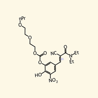 CCCOCCOCCOC(=O)Oc1cc(/C=C(\C#N)C(=O)N(CC)CC)cc([N+](=O)[O-])c1O